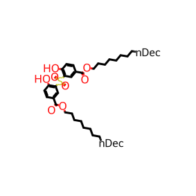 CCCCCCCCCCCCCCCCCCOC(=O)c1ccc(O)c(S(=O)(=O)c2cc(C(=O)OCCCCCCCCCCCCCCCCCC)ccc2O)c1